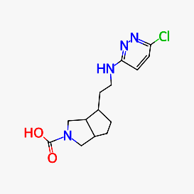 O=C(O)N1CC2CCC(CCNc3ccc(Cl)nn3)C2C1